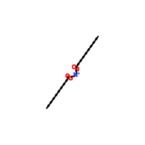 CC#CC#CC#CC#CC#CC#CC#CC#CC(=O)OCC[N+](C)(C)CCOC(=O)C#CC#CC#CC#CC#CC#CC#CC#CC